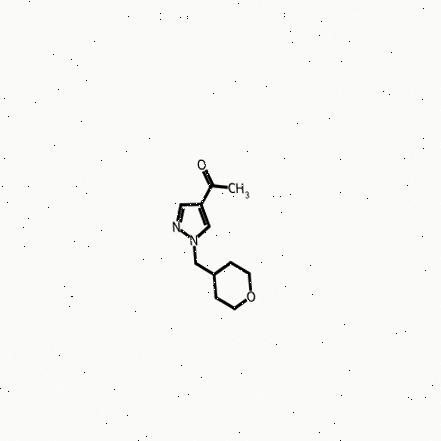 CC(=O)c1cnn(CC2CCOCC2)c1